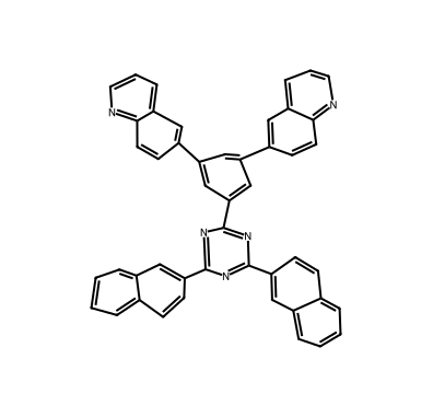 c1ccc2cc(-c3nc(-c4cc(-c5ccc6ncccc6c5)cc(-c5ccc6ncccc6c5)c4)nc(-c4ccc5ccccc5c4)n3)ccc2c1